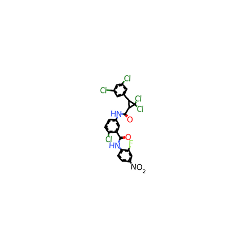 O=C(Nc1ccc([N+](=O)[O-])cc1F)c1cc(NC(=O)C2C(c3cc(Cl)cc(Cl)c3)C2(Cl)Cl)ccc1Cl